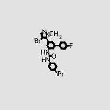 CC(C)c1ccc(NC(=O)Nc2cc(-c3ccc(F)cc3)cc(-c3c(Br)cnn3C)c2)cc1